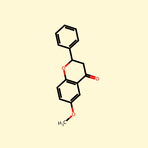 COc1ccc2c(c1)C(=O)CC(c1ccccc1)O2